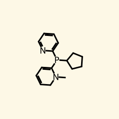 CN1CC=CC=C1P(c1ccccn1)C1CCCC1